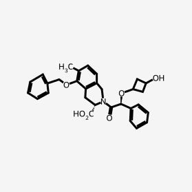 Cc1ccc2c(c1OCc1ccccc1)C[C@@H](C(=O)O)N(C(=O)[C@@H](OC1CC(O)C1)c1ccccc1)C2